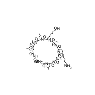 CC[C@@H]1NC(=O)C(C[C@H](C)CCCCCCN)N(C)C(=O)C(C(C)C)N(C)C(=O)N(C)C(=O)[C@@H](CC(C)C)N(C)C(=O)CNC(=O)[C@@H](C)NC(=O)[C@@H](CC(C)C)N(C)C(=O)[C@@H](C(C)C)NC(=O)[C@H](CC(C)C)N(C)C(=O)[C@@H](SCCCCCO)N(C)C1=O